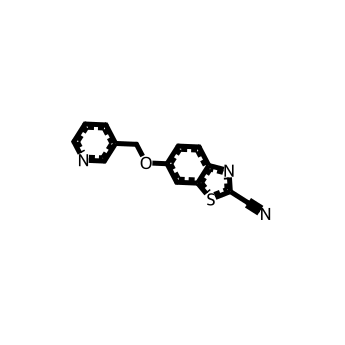 N#Cc1nc2ccc(OCc3cccnc3)cc2s1